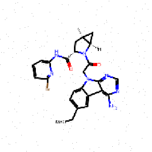 COCc1ccc2c(c1)c1c(N)ncnc1n2CC(=O)N1[C@H](C(=O)Nc2cccc(Br)n2)C[C@@]2(C)C[C@@H]12